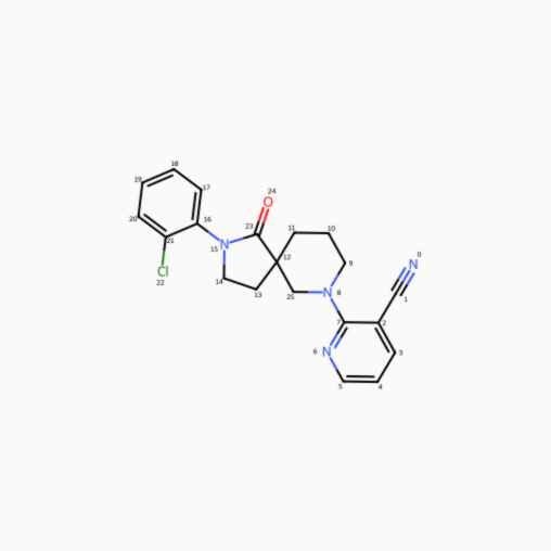 N#Cc1cccnc1N1CCCC2(CCN(c3ccccc3Cl)C2=O)C1